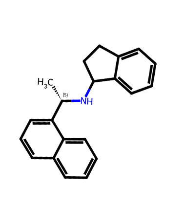 C[C@H](NC1CCc2ccccc21)c1cccc2ccccc12